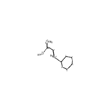 CO[C](CNC1CCCCC1)OC